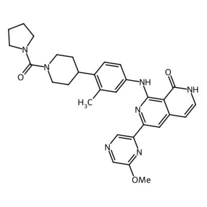 COc1cncc(-c2cc3cc[nH]c(=O)c3c(Nc3ccc(C4CCN(C(=O)N5CCCC5)CC4)c(C)c3)n2)n1